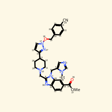 CCn1cncc1Cn1c(CN2CCC(c3ccn(OCc4ccc(C#N)cc4)n3)CC2)nc2ccc(C(=O)OC)cc21